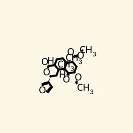 CCO[C@@H]1C[C@@H](C(=O)OC)[C@]2(C)CC[C@H]3C(=O)O[C@@H](c4ccoc4)C[C@]3(C)[C@H]2C1=O